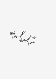 CC(C)(C)NC(=O)Nc1ccsc1